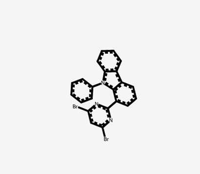 Brc1cc(Br)nc(-c2cccc3c4ccccc4n(-c4ccccc4)c23)n1